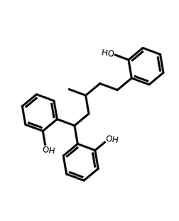 CC(CCc1ccccc1O)CC(c1ccccc1O)c1ccccc1O